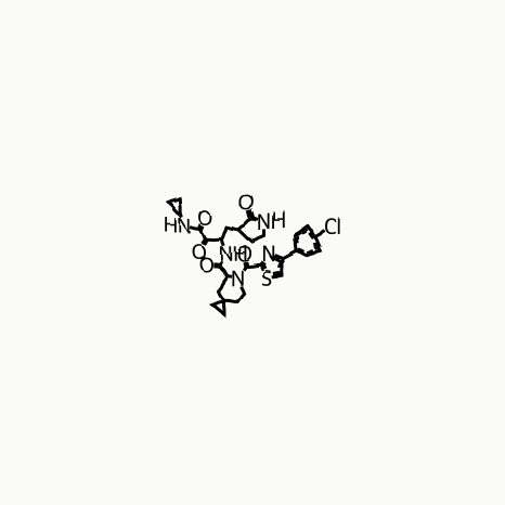 O=C(NC1CC1)C(=O)C(CC1CCNC1=O)NC(=O)C1CC2(CCN1C(=O)c1nc(-c3ccc(Cl)cc3)cs1)CC2